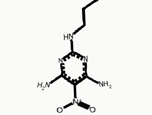 CCCNc1nc(N)c([N+](=O)[O-])c(N)n1